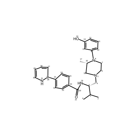 CC(C)[C@@H](CN1CCN(c2cccc(O)c2)[C@@H](C)C1)NC(=O)c1ccc(B2C=CC=CN2)cc1